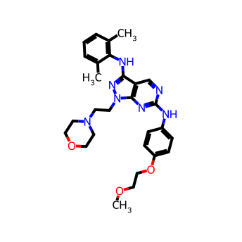 COCCOc1ccc(Nc2ncc3c(Nc4c(C)cccc4C)nn(CCN4CCOCC4)c3n2)cc1